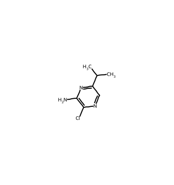 CC(C)c1cnc(Cl)c(N)n1